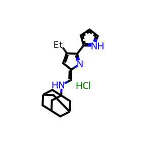 CCC1=CC(=CNC23CC4CC(CC(C4)C2)C3)N=C1c1ccc[nH]1.Cl